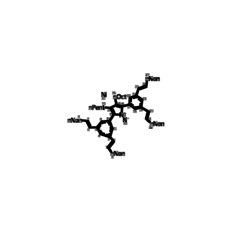 CCCCCCCCCC=Cc1cc(C=CCCCCCCCCC)cc(C2=C(CCCCC)C(CCCCCCCC)=C(c3cc(C=CCCCCCCCCC)cc(C=CCCCCCCCCC)c3)[N+]2=[N-])c1.[Ni]